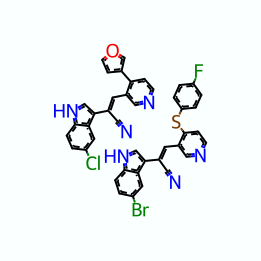 N#C/C(=C\c1cnccc1-c1ccoc1)c1c[nH]c2ccc(Cl)cc12.N#C/C(=C\c1cnccc1Sc1ccc(F)cc1)c1c[nH]c2ccc(Br)cc12